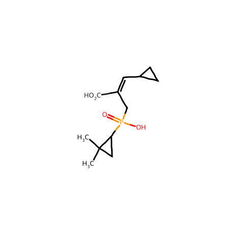 CC1(C)CC1P(=O)(O)C/C(=C\C1CC1)C(=O)O